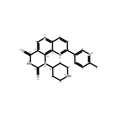 Cc1ccc(-c2ccc3ncc4c(=O)[nH]c(=O)n(C5CCNCC5)c4c3n2)cn1